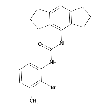 Cc1cccc(NC(=O)Nc2c3c(cc4c2CCC4)CCC3)c1Br